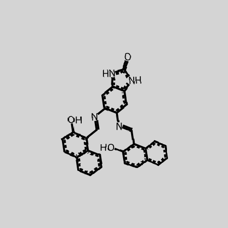 O=c1[nH]c2cc(N=Cc3c(O)ccc4ccccc34)c(N=Cc3c(O)ccc4ccccc34)cc2[nH]1